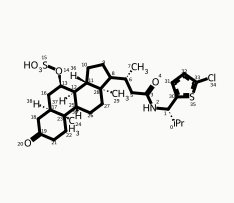 CC(C)[C@H](NC(=O)C[C@@H](C)C1CC[C@H]2[C@@H]3[C@H](OS(=O)(=O)O)C[C@@H]4CC(=O)CC[C@]4(C)[C@H]3CC[C@]12C)c1ccc(Cl)s1